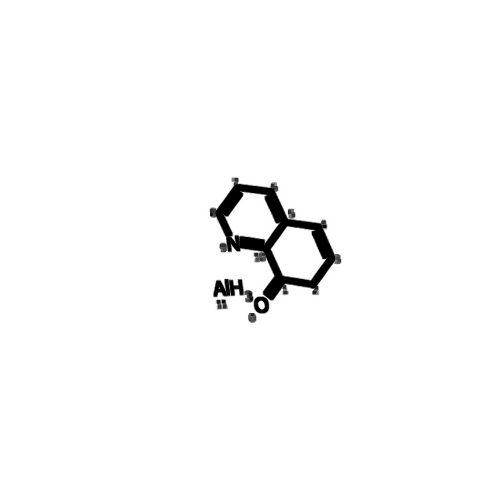 O=C1CC=Cc2cccnc21.[AlH3]